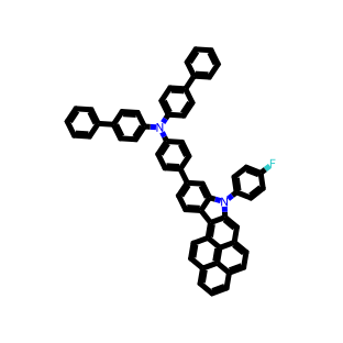 Fc1ccc(-n2c3cc(-c4ccc(N(c5ccc(-c6ccccc6)cc5)c5ccc(-c6ccccc6)cc5)cc4)ccc3c3c4ccc5cccc6ccc(cc32)c4c65)cc1